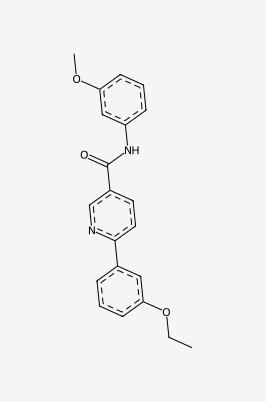 CCOc1cccc(-c2ccc(C(=O)Nc3cccc(OC)c3)cn2)c1